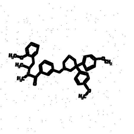 COc1ccc(C2(c3ccc(OC)cc3)CCCN(Cc3cccc(C(=O)N(C)C(C)Cc4ccccc4OC)c3)C2)cc1